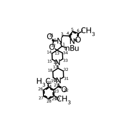 CCCCC1N(Cc2cc(C)on2)C(=O)OC12CCN(C1CCN(C(=O)c3c(C)cccc3C)CC1)CC2